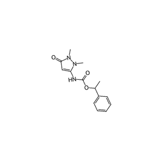 CC(OC(=O)Nc1cc(=O)n(C)n1C)c1ccccc1